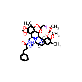 COCOc1c(OC)c(C)cc2c1[C@H]1C3Cc4c(OC(=O)CI)c(C)c5c(c4[C@H](CNC(=O)CCc4ccccc4)N3[C@@H](C#N)[C@@H](C2)N1C)OCO5